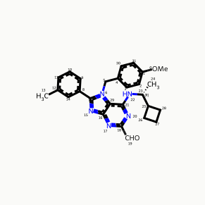 COc1ccc(Cn2c(-c3cccc(C)c3)nc3nc(C=O)nc(N[C@H](C)C4CCC4)c32)cc1